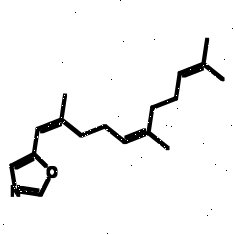 CC(C)=CCCC(C)=CCCC(C)=Cc1cnco1